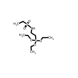 CCO[Si](CCNS(=O)(=O)CC)(OCC)OCC